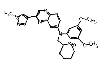 COc1cc(OC)cc(N(CC2CCCCN2)c2ccc3ncc(-c4cnn(C)c4)nc3c2)c1